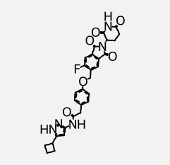 O=C1CCC(N2C(=O)c3cc(F)c(COc4ccc(CC(=O)Nc5cc(C6CCC6)[nH]n5)cc4)cc3C2=O)C(=O)N1